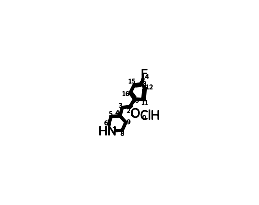 Cl.O=C(CC1CCNCC1)c1ccc(F)cc1